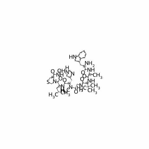 CC(C)C[C@H](NC(=O)[C@H](Cc1c[nH]cn1)N(C)C(=O)CNC(=O)[C@@H](NC(=O)[C@H](C)NC(=O)[C@@H](N)Cc1c[nH]c2ccccc12)C(C)(C)C)C(=O)N1CSC[C@H]1C(=O)NO